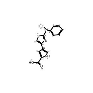 CN(c1ccccc1)c1nc(-c2c[nH]c(C(=O)O)c2)cs1